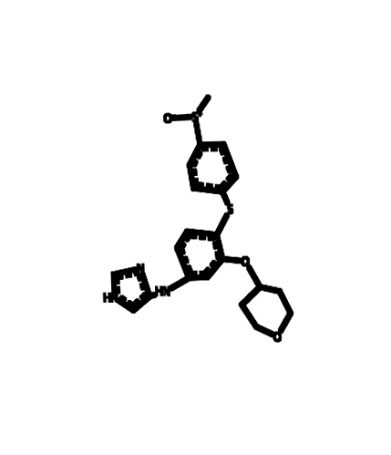 C[S+]([O-])c1ccc(Sc2ccc(Nc3c[nH]cn3)cc2OC2CCOCC2)cc1